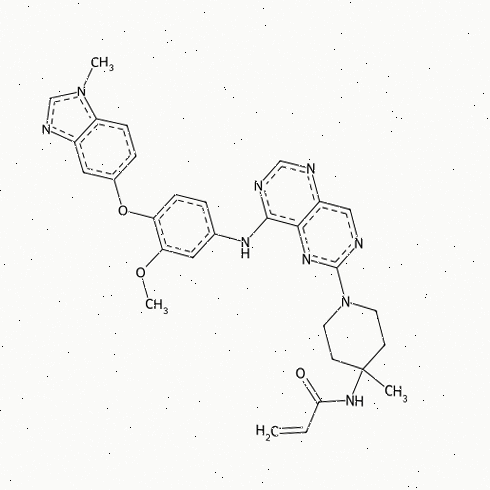 C=CC(=O)NC1(C)CCN(c2ncc3ncnc(Nc4ccc(Oc5ccc6c(c5)ncn6C)c(OC)c4)c3n2)CC1